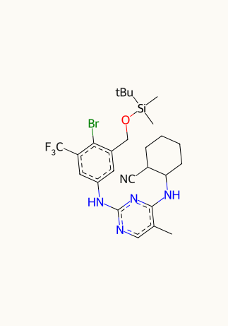 Cc1cnc(Nc2cc(CO[Si](C)(C)C(C)(C)C)c(Br)c(C(F)(F)F)c2)nc1NC1CCCCC1C#N